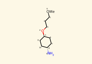 COCCCO[C@H]1CC[C@H](N)CC1